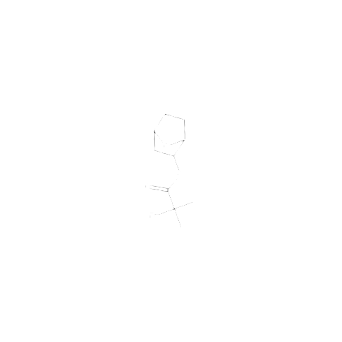 CCC(C)(C)C(=O)OC1CC2CCC1O2